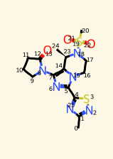 Cc1nsc(-c2nc(N3CCCC3=O)c3n2CCN(S(C)(=O)=O)[C@@H]3C)n1